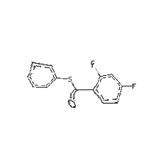 O=C(Sc1ccccc1)c1ccc(F)cc1F